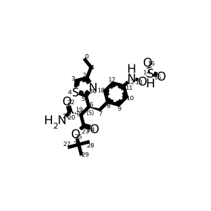 CCc1csc([C@@H](Cc2ccc(NO[SH](=O)=O)cc2)[C@@H](C(N)=O)C(=O)OC(C)(C)C)n1